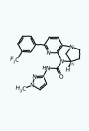 Cn1ccc(NC(=O)N2c3nc(-c4cccc(C(F)(F)F)c4)ccc3N3CC[C@H]2C3)n1